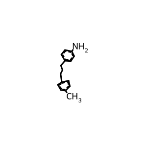 Cc1ccc(CCCc2ccc(N)cc2)cc1